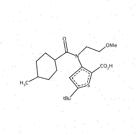 COCCN(C(=O)C1CCC(C)CC1)c1cc(C(C)(C)C)sc1C(=O)O